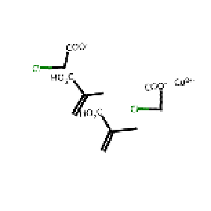 C=C(C)C(=O)O.C=C(C)C(=O)O.O=C([O-])CCl.O=C([O-])CCl.[Cu+2]